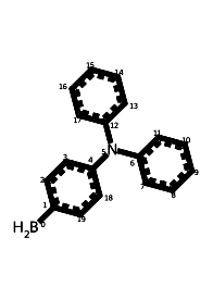 Bc1ccc(N(c2ccccc2)c2ccccc2)cc1